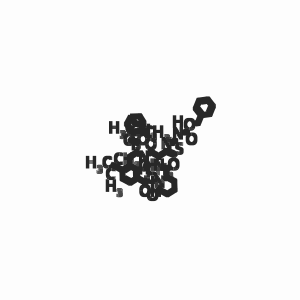 COc1c(C(=O)O)ccc(C(C)(C)C)c1CC(NC(=O)C(NC(=O)C1CCCC(=O)N1)c1csc(NC(=O)OCc2ccccc2)n1)B1OC2CC3CC(C3(C)C)[C@]2(C)O1